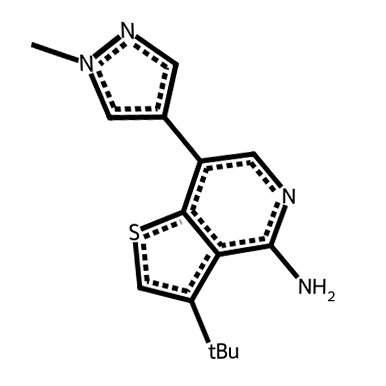 Cn1cc(-c2cnc(N)c3c(C(C)(C)C)csc23)cn1